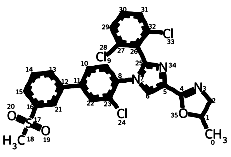 CC1CN=C(c2cn(-c3ccc(-c4cccc(S(C)(=O)=O)c4)cc3Cl)c(-c3c(Cl)cccc3Cl)n2)O1